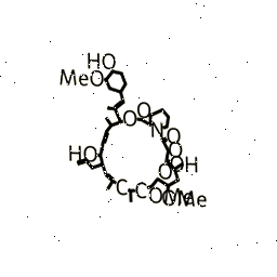 C=CCC1C=C(C)CC(C)CC(OC)C2OC(O)(C(=O)C(=O)N3CCCCC3C(=O)OC(C(C)=CC3CCC(O)C(OC)C3)C(C)C=CC1O)C(C)CC2OC